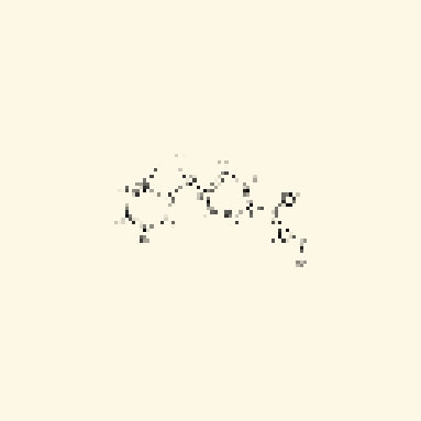 CCOC(=O)c1ccc(C2C=Cc3ccccc32)cc1